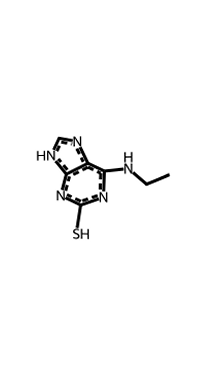 CCNc1nc(S)nc2[nH]cnc12